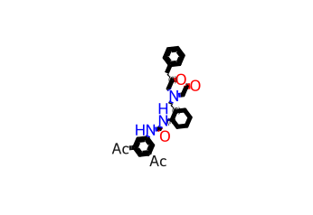 CC(=O)c1cc(NC(=O)N[C@@H]2CCCC[C@H]2CN2CC(=O)O[C@@H](Cc3ccccc3)C2)cc(C(C)=O)c1